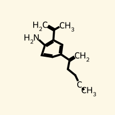 C=C(CCCC)c1ccc(N)c(C(=C)C)c1